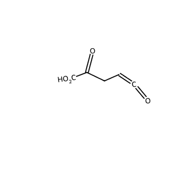 O=C=CCC(=O)C(=O)O